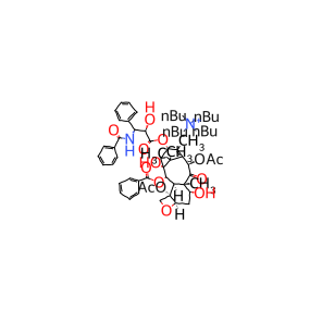 CC(=O)O[C@H]1C(=O)[C@@]2(C)[C@H]([C@H](OC(=O)c3ccccc3)[C@]3(O)C[C@H](OC(=O)[C@H](O)[C@@H](NC(=O)c4ccccc4)c4ccccc4)C(C)=C1C3(C)C)[C@]1(OC(C)=O)CO[C@@H]1C[C@@H]2O.CCCC[N+](CCCC)(CCCC)CCCC